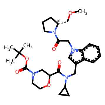 COC[C@H]1CCCN1C(=O)Cn1cc(CN(C(=O)C2CN(C(=O)OC(C)(C)C)CCO2)C2CC2)c2ccccc21